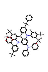 Cc1cc2c(cc1N1c3cc(C(C)(C)c4ccccc4)ccc3B3c4cc5c(cc4N(c4ccc(C(C)(C)C)cc4-c4ccccc4)c4cc(N(c6ccccc6)c6ccccc6)cc1c43)C(C)(C)CC5(C)C)C(C)(C)CC2(C)C